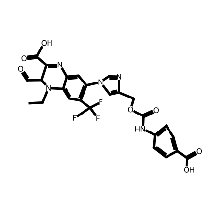 CCN1c2cc(C(F)(F)F)c(-n3cnc(COC(=O)Nc4ccc(C(=O)O)cc4)c3)cc2N=C(C(=O)O)C1C=O